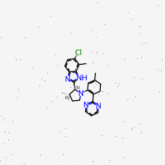 CC1=CC(N2CC[C@H](C)[C@H]2c2nc3ccc(Cl)c(C)c3[nH]2)=C(c2ncccn2)[CH]C1